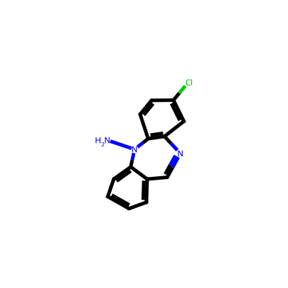 NN1c2ccccc2C=Nc2cc(Cl)ccc21